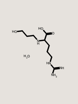 N=C(N)NCCCC(NCCCO)C(=O)O.O